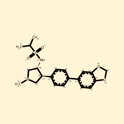 CC(C)S(=O)(=O)N[C@H]1CN(C)C[C@@H]1c1ccc(-c2ccc3c(c2)OCO3)cc1